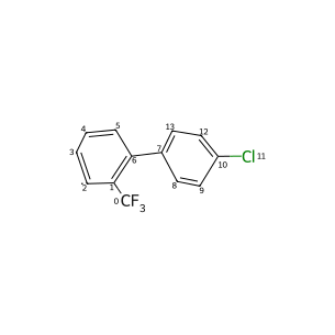 FC(F)(F)c1[c]cccc1-c1ccc(Cl)cc1